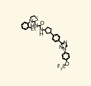 CCc1ccccc1N1CCSC1NC(=O)NC1CCC(c2ccc(-c3ncn(-c4ccc(OC(F)(F)F)cc4)n3)cc2)C1